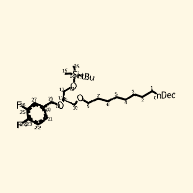 CCCCCCCCCCCCCCCCCCOC[C@H](CO[Si](C)(C)C(C)(C)C)OCc1ccc(F)c(F)c1